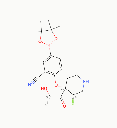 C[C@H](O)C(=O)[C@@]1(Oc2ccc(B3OC(C)(C)C(C)(C)O3)cc2C#N)CCNC[C@H]1F